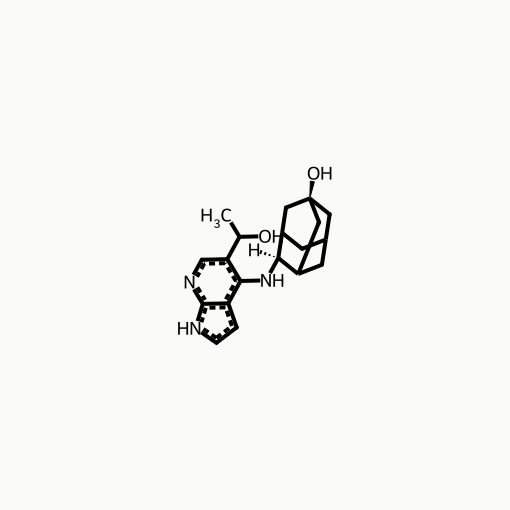 CC(O)c1cnc2[nH]ccc2c1N[C@H]1C2CC3CC1C[C@@](O)(C3)C2